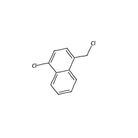 ClCc1ccc(Cl)c2ccccc12